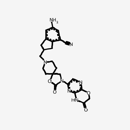 N#Cc1cc(N)cc2c1CC(CN1CCC3(CC1)CN(c1cnc4c(n1)NC(=O)CO4)C(=O)O3)C2